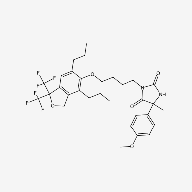 CCCc1cc2c(c(CCC)c1OCCCCN1C(=O)NC(C)(c3ccc(OC)cc3)C1=O)COC2(C(F)(F)F)C(F)(F)F